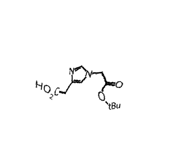 CC(C)(C)OC(=O)Cn1cnc(CC(=O)O)c1